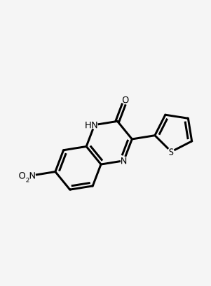 O=c1[nH]c2cc([N+](=O)[O-])ccc2nc1-c1cccs1